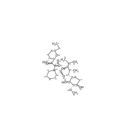 CCC1CC[C@@H](C)[C@](O)(C(=O)C(=O)N2CCCC[C@H]2C(=O)O[C@@H](C(C)C)[C@H](C)C[C@@H]2CC[C@@H](O)[C@H](OC)[C@H]2O)O1